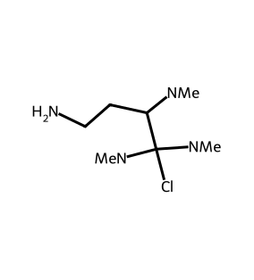 CNC(CCN)C(Cl)(NC)NC